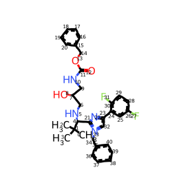 CC(C)(C)[C@@H](NC[C@@H](O)CNC(=O)OCc1ccccc1)c1nc(-c2cc(F)ccc2F)cn1Cc1ccccc1